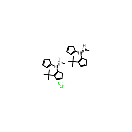 [CH3][GeH]([CH3])[Hf+]([C]1=CC=CC1)[C]1=C(C(C)(C)C)C=CC1.[CH3][GeH]([CH3])[Hf+]([C]1=CC=CC1)[C]1=C(C(C)(C)C)C=CC1.[Cl-].[Cl-]